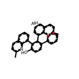 Cc1ccc2cccc(-c3c(O)ccc(-c4ccccc4)c3-c3cccc4ccc(C)nc34)c2n1.[AlH3]